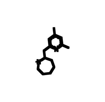 Cc1cc(C)nc(CC2CCCCC[N]2)c1